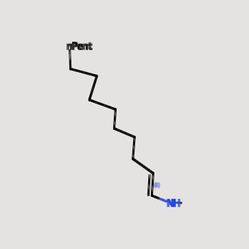 CCCCCCCCCCCC/C=C/[NH]